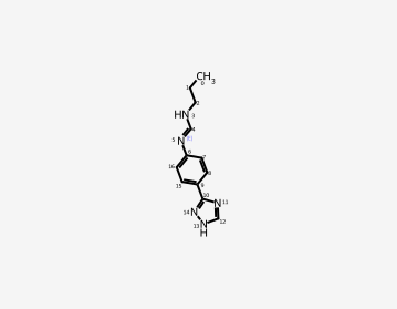 CCCN/C=N/c1ccc(-c2nc[nH]n2)cc1